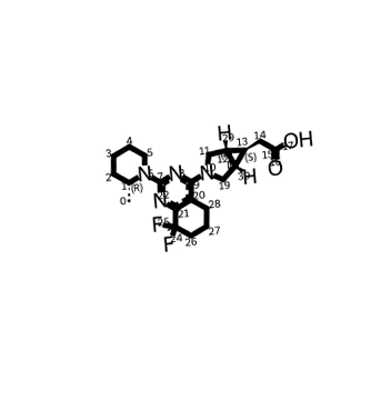 C[C@@H]1CCCCN1c1nc(N2C[C@@H]3[C@@H](CC(=O)O)[C@@H]3C2)c2c(n1)C(F)(F)CCC2